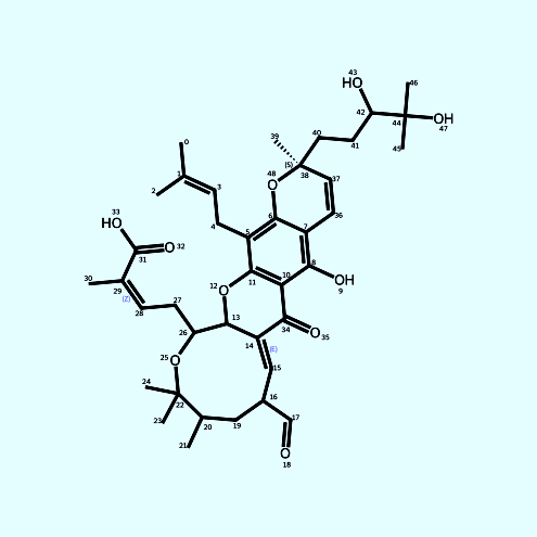 CC(C)=CCc1c2c(c(O)c3c1OC1/C(=C\C(C=O)CC(C)C(C)(C)OC1C/C=C(/C)C(=O)O)C3=O)C=C[C@](C)(CCC(O)C(C)(C)O)O2